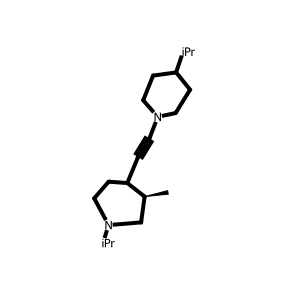 CC(C)C1CCN(C#CC2CCN(C(C)C)C[C@@H]2C)CC1